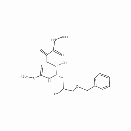 C=C(C[C@H](O)[C@H](CC(COCc1ccccc1)C(C)C)NC(=O)OC(C)(C)C)C(=O)NCCCC